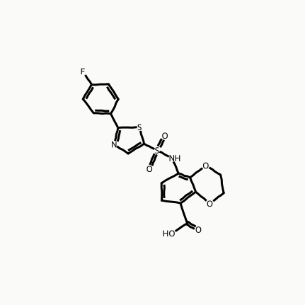 O=C(O)c1ccc(NS(=O)(=O)c2cnc(-c3ccc(F)cc3)s2)c2c1OCCO2